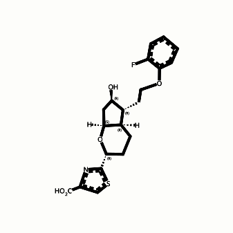 O=C(O)c1csc([C@H]2CC[C@@H]3[C@@H](CCOc4ccccc4F)[C@H](O)C[C@@H]3O2)n1